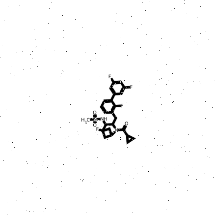 CS(=O)(=O)NC1C(Cc2cccc(-c3cc(F)cc(F)c3)c2F)N(C(=O)C2CC2)C2CC1(F)C2